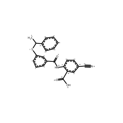 CC(Sc1cccc(C(=O)Nc2ccc(C#N)cc2C(=O)O)c1)c1ccccc1